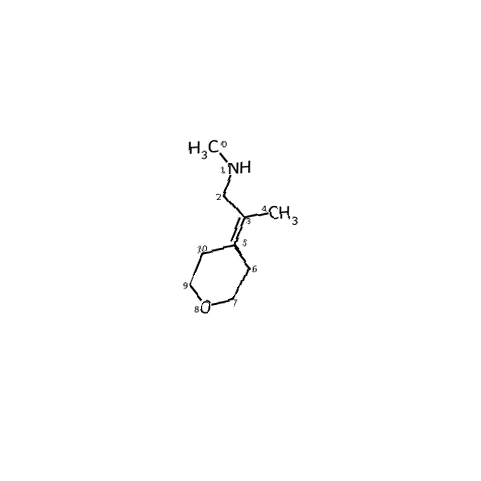 CNCC(C)=C1CCOCC1